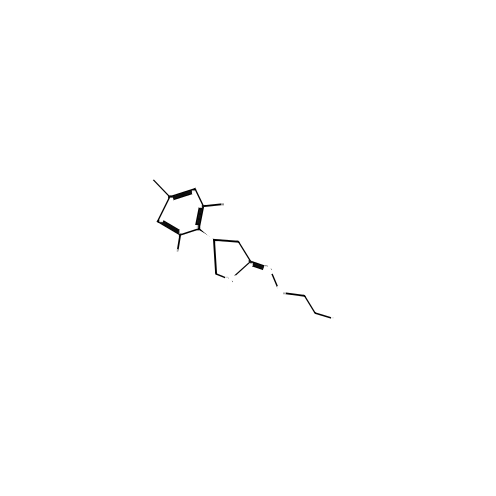 OCCO/N=C1/C[C@H](c2c(F)cc(F)cc2F)CN1